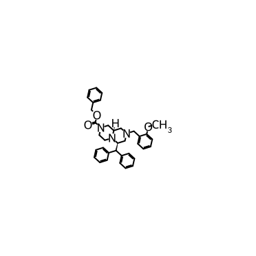 COc1ccccc1CN1C[C@@H]2CN(C(=O)OCc3ccccc3)CCN2[C@H](C(c2ccccc2)c2ccccc2)C1